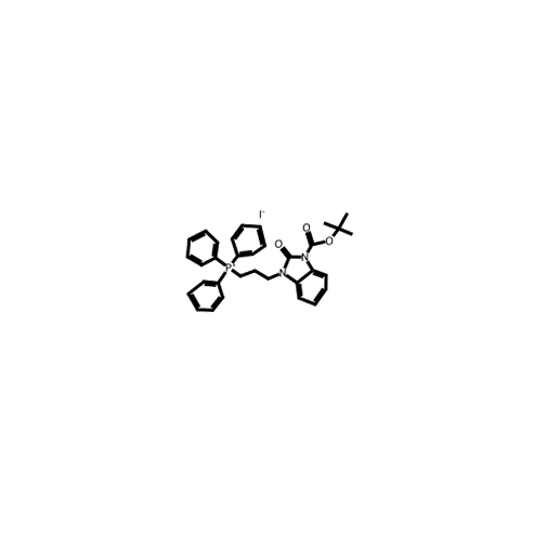 CC(C)(C)OC(=O)n1c(=O)n(CCC[P+](c2ccccc2)(c2ccccc2)c2ccccc2)c2ccccc21.[I-]